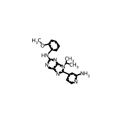 COc1ccccc1Nc1ncc2nc(-c3ccnc(N)c3)n(C(C)C)c2n1